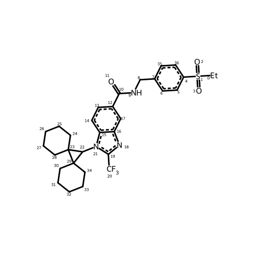 CCS(=O)(=O)c1ccc(CNC(=O)c2ccc3c(c2)nc(C(F)(F)F)n3C2C3(CCCCC3)C23CCCCC3)cc1